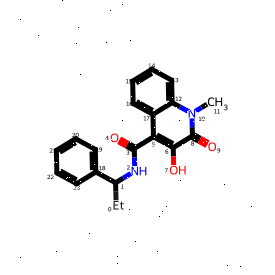 CCC(NC(=O)c1c(O)c(=O)n(C)c2ccccc12)c1ccccc1